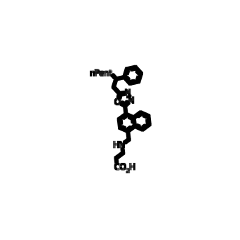 CCCCCC(Cc1nnc(-c2ccc(CNCCC(=O)O)c3ccccc23)o1)c1ccccc1